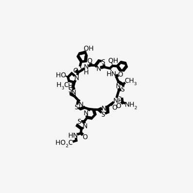 Cc1sc2nc1C(=O)N[C@@H]([C@H](O)c1ccccc1)c1nc(cs1)C(=O)N[C@@H](Cc1ccc(O)cc1)C(=O)N1C[C@H](O)[C@H](C)[C@H]1c1nc(cs1)-c1nc(cs1)-c1nc(-c3nc(C(=O)NCC(=O)O)cs3)ccc1-c1nc(cs1)C(=O)N[C@H]2CC(N)=O